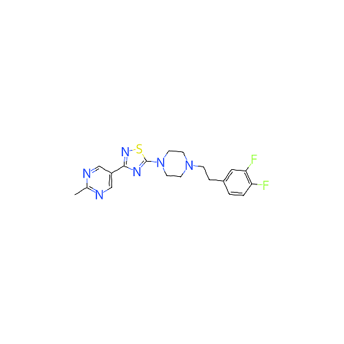 Cc1ncc(-c2nsc(N3CCN(CCc4ccc(F)c(F)c4)CC3)n2)cn1